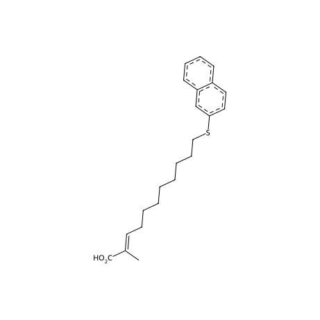 CC(=CCCCCCCCCSc1ccc2ccccc2c1)C(=O)O